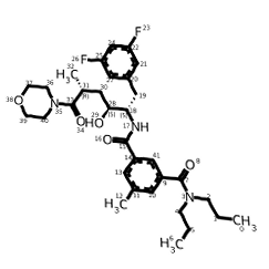 CCCN(CCC)C(=O)c1cc(C)cc(C(=O)N[C@@H](Cc2cc(F)cc(F)c2)[C@@H](O)C[C@@H](C)C(=O)N2CCOCC2)c1